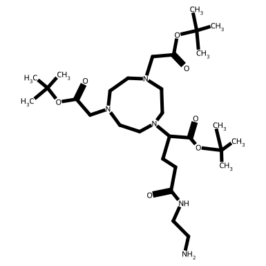 CC(C)(C)OC(=O)CN1CCN(CC(=O)OC(C)(C)C)CCN(C(CCC(=O)NCCN)C(=O)OC(C)(C)C)CC1